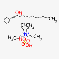 CCCCCCCCCCCCCC(O)C#Cc1ccccc1.CCCC[N+](CCCC)(CCCC)CCCC.O=S(=O)(O)O